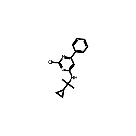 CC(C)(Nc1cc(-c2ccccc2)nc(Cl)n1)C1CC1